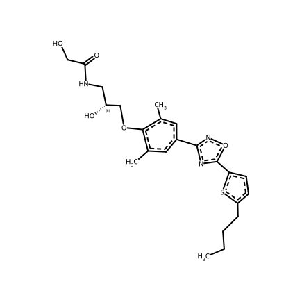 CCCCc1ccc(-c2nc(-c3cc(C)c(OC[C@H](O)CNC(=O)CO)c(C)c3)no2)s1